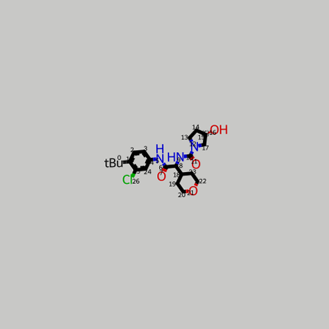 CC(C)(C)c1ccc(NC(=O)C(NC(=O)N2CC[C@H](O)C2)C2CCOCC2)cc1Cl